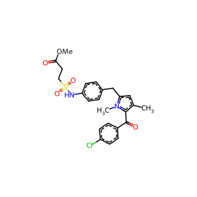 COC(=O)CCS(=O)(=O)Nc1ccc(Cc2cc(C)c(C(=O)c3ccc(Cl)cc3)n2C)cc1